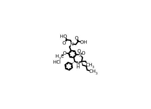 CCCC[C@]1(CC)CS(=O)(=O)c2cc(CN(CC(=O)O)CC(=O)O)c(OC)cc2[C@@H](c2ccccc2)N1.Cl